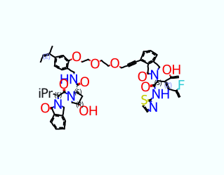 C=C(F)/C=C(\C(=C)O)[C@@H](C(=O)Nc1nccs1)N1Cc2cccc(C#CCOCCOCCOc3cc(/C(C)=C\C)ccc3CNC(=O)[C@@H]3C[C@@H](O)CN3C(=O)[C@H](C(C)C)N3Cc4ccccc4C3=O)c2C1=O